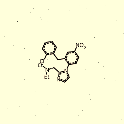 CCN(CC)Cc1nccn1-c1ccc([N+](=O)[O-])cc1Cc1ccccc1Cl